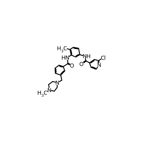 Cc1ccc(NC(=O)c2ccnc(Cl)c2)cc1NC(=O)c1cccc(CN2CCN(C)CC2)c1